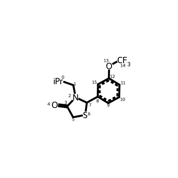 CC(C)CN1C(=O)CSC1c1cccc(OC(F)(F)F)c1